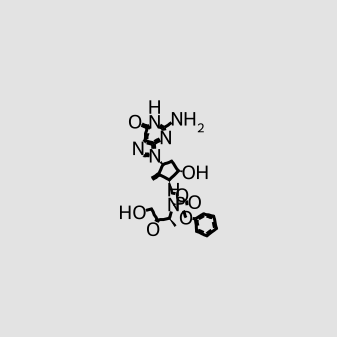 C=C1[C@H](CO[P@@](=O)(N[C@@H](C)C(=O)CO)Oc2ccccc2)[C@@H](O)C[C@@H]1n1cnc2c(=O)[nH]c(N)nc21